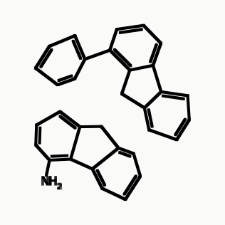 Nc1cccc2c1-c1ccccc1C2.c1ccc(-c2cccc3c2Cc2ccccc2-3)cc1